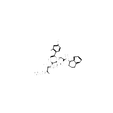 CN[C@@H](C)C(=O)Nc1ncc(-c2ccc(F)cc2C)n(CC(=O)N[C@@H]2CCCc3ccccc32)c1=O